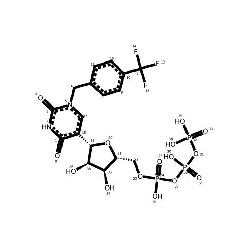 O=c1[nH]c(=O)n(Cc2ccc(C(F)(F)F)cc2)cc1[C@@H]1O[C@H](COP(=O)(O)OP(=O)(O)OP(=O)(O)O)[C@@H](O)[C@H]1O